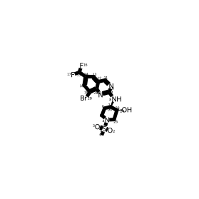 CS(=O)(=O)N1CC[C@@H](Nc2ncc3cc(C(F)F)cc(Br)c3n2)[C@H](O)C1